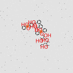 CCC(C(C)O)C(C)O.CCCCC(C(C)O)C(C)O.O=C(O)c1ccccc1.O=C(O)c1ccccc1.O=P(O)(c1ccccc1)c1ccccc1.O=P(O)(c1ccccc1)c1ccccc1